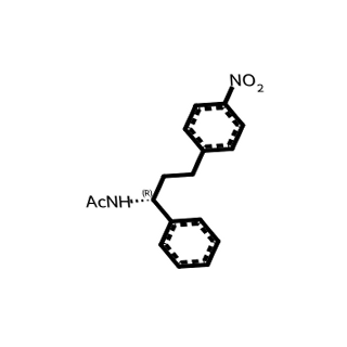 CC(=O)N[C@H](CCc1ccc([N+](=O)[O-])cc1)c1ccccc1